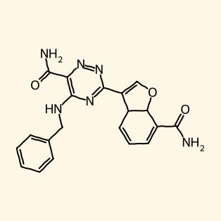 NC(=O)C1=CC=CC2C(c3nnc(C(N)=O)c(NCc4ccccc4)n3)=COC12